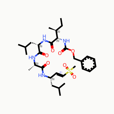 CC[C@H](C)[C@H](NC(=O)OCc1ccccc1)C(=O)N[C@@H](CC(C)C)C(=O)N[C@@H](C)C(=O)N[C@H](/C=C/S(C)(=O)=O)CC(C)C